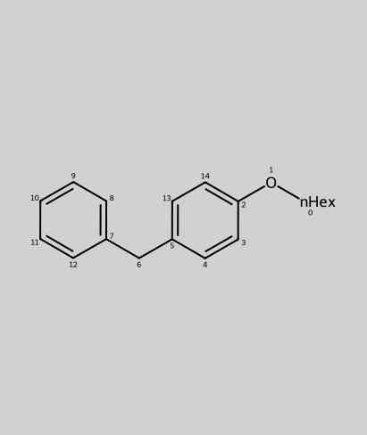 CCCCCCOc1ccc(Cc2ccccc2)cc1